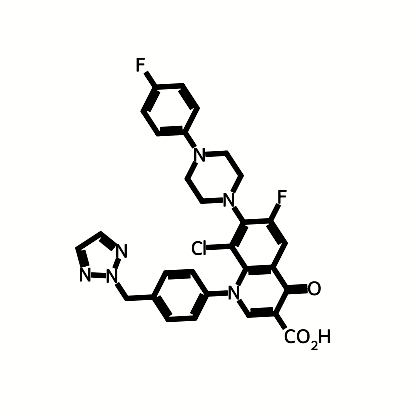 O=C(O)c1cn(-c2ccc(Cn3nccn3)cc2)c2c(Cl)c(N3CCN(c4ccc(F)cc4)CC3)c(F)cc2c1=O